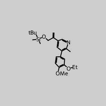 C=C(CO[Si](C)(C)C(C)(C)C)c1cnc(C)c(-c2ccc(OC)c(OCC)c2)c1